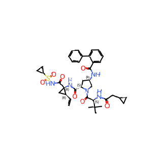 C=C[C@H]1C[C@]1(NC(=O)[C@@H]1C[C@@H](NC(=O)c2ccccc2-c2ccccc2)CN1C(=O)[C@@H](NC(=O)CC1CC1)C(C)(C)C)C(=O)NS(=O)(=O)C1CC1